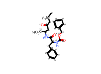 C[SiH2]CC(=O)CC(NC(=O)C(Cc1ccccc1)NC(=O)OCc1ccccc1)C(=O)O